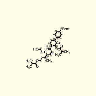 C=C(C)C(=O)OCC/C(C)=C(/C=C\C(=C)c1ccc(-c2ccc(CCCCC)cc2)c(F)c1OC(=O)C(=C)C)OCCO